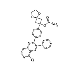 NC(=O)OC1(c2ccc(-c3nc4ccnc(Cl)c4cc3-c3ccccc3)cc2)CC2(C1)OCCO2